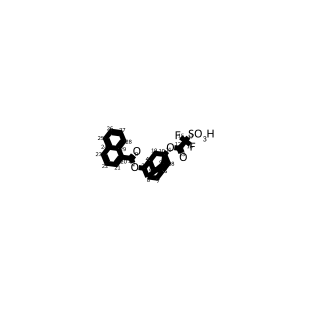 O=C(OC1C2CC3CC1CC(OC(=O)C(F)(F)S(=O)(=O)O)(C3)C2)c1cccc2ccccc12